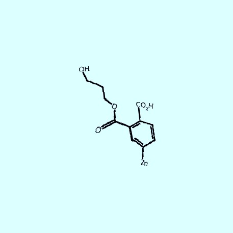 O=C(O)c1cc[c]([Zn])cc1C(=O)OCCCO